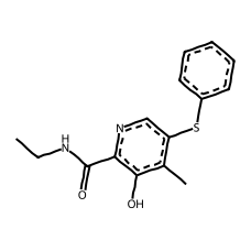 CCNC(=O)c1ncc(Sc2ccccc2)c(C)c1O